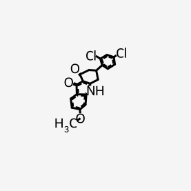 COc1ccc2c(=O)c3c([nH]c2c1)CC(c1ccc(Cl)cc1Cl)CC3=O